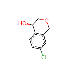 O[C@H]1COCc2cc(Cl)ccc21